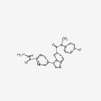 CNC(=O)c1ccc(-c2cnn3ccc(C(=O)N(C)c4ccc(Cl)cc4)cc23)cn1